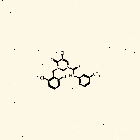 O=C(Nc1cccc(C(F)(F)F)c1)N1C=C(Cl)C(=O)N(Cc2c(Cl)cccc2Cl)C1